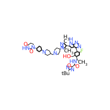 Cc1nn(C2CCN(CC3CCN(c4ccc(N5CCC(=O)NC5=O)cc4)CC3)CC2)c(C)c1-c1cc2c(-c3cc(CO)c(C(C)NC(=O)c4nc(C(C)(C)C)no4)cc3F)ncnc2[nH]1